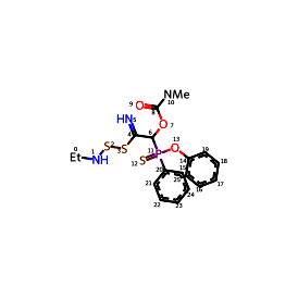 CCNSSC(=N)C(OC(=O)NC)P(=S)(Oc1ccccc1)c1ccccc1